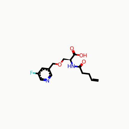 C=CCCC(=O)N[C@@H](COCc1cncc(F)c1)C(=O)O